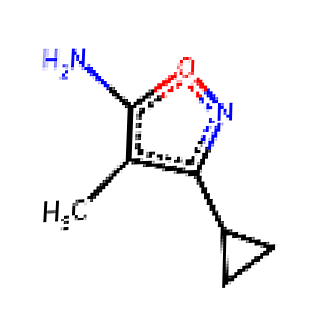 Cc1c(C2CC2)noc1N